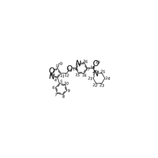 Cc1onc(-c2ccccc2)c1COc1ccc(C(=O)N2CCCCC2)cn1